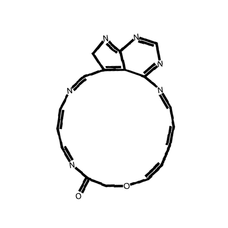 O=C1COC=CC=CC=Nc2ncnc3c2=C(C=NC=CC=N1)CN=3